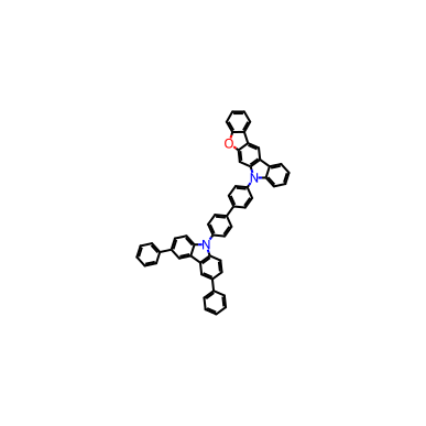 c1ccc(-c2ccc3c(c2)c2cc(-c4ccccc4)ccc2n3-c2ccc(-c3ccc(-n4c5ccccc5c5cc6c(cc54)oc4ccccc46)cc3)cc2)cc1